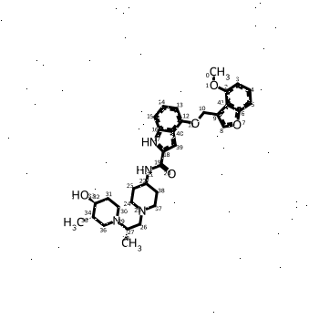 COc1cccc2occ(COc3cccc4[nH]c(C(=O)NC5CCN(C[C@H](C)N6CC[C@H](O)[C@@H](C)C6)CC5)cc34)c12